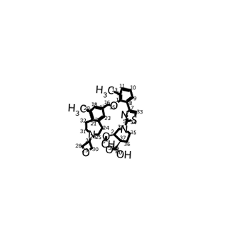 CO[C@H]1CN(c2nc(-c3cccc(C)c3OCc3cc(C)c4c(c3)CCN(C3COC3)CC4)cs2)CC[C@H]1C(=O)O